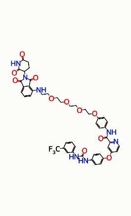 O=C1CCC(N2C(=O)c3cccc(NCCOCCOCCOCCOc4ccc(NC(=O)c5cc(Oc6ccc(NC(=O)Nc7cccc(C(F)(F)F)c7)cc6)ccn5)cc4)c3C2=O)C(=O)N1